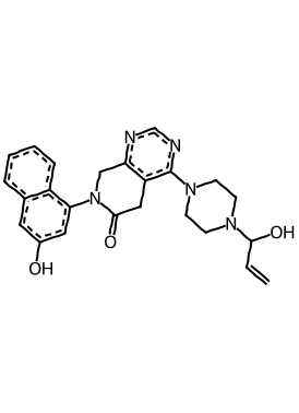 C=CC(O)N1CCN(c2ncnc3c2CC(=O)N(c2cc(O)cc4ccccc24)C3)CC1